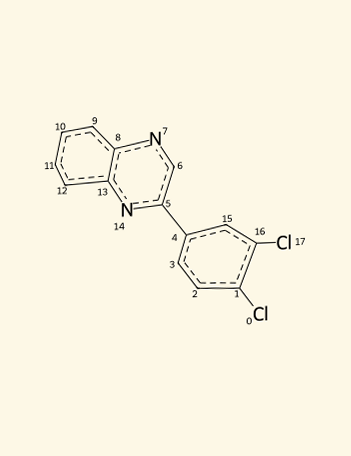 Clc1ccc(-c2cnc3ccccc3n2)cc1Cl